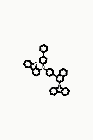 c1ccc(-c2ccc(N(c3ccc(-c4cc(-n5c6ccccc6c6ccccc65)cc5ccccc45)cc3)c3cccc4c3sc3ccccc34)cc2)cc1